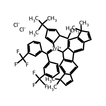 CCC1C=C(C(C)(C)C)C=[C]1[Zr+2](=[C](c1cccc(C(F)(F)F)c1)c1cccc(C(F)(F)F)c1)[CH]1c2cc3c(cc2-c2cc4c(cc21)C(C)(C)C=C4)C=CC3(C)C.[Cl-].[Cl-]